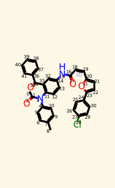 CC(=O)N(c1ccc(C)cc1)c1ccc(NC(=O)/C=C\c2ccc(-c3ccc(Cl)cc3)o2)cc1C(=O)c1ccccc1